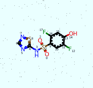 O=S(=O)(Nc1ncns1)c1cc(F)c(O)cc1F